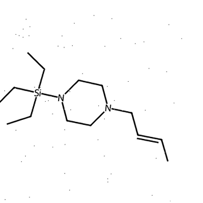 CC=CCN1CCN([Si](CC)(CC)CC)CC1